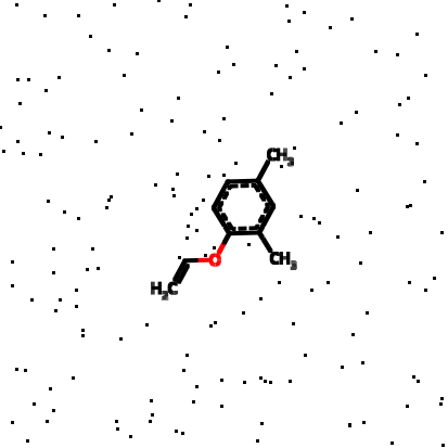 C=COc1ccc(C)cc1C